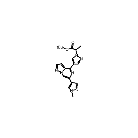 CC(C(=O)OC(C)(C)C)n1cc(-c2nc(-c3cnn(C)c3)cn3nccc23)cn1